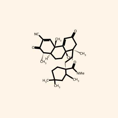 CNC(=O)[C@]1(CC[C@]2(C)CC(=O)C=C3[C@@]4(C)C=C(C#N)C(=O)[C@@H](C)[C@@H]4CC[C@]32C)CCC(C)(C)CC1C